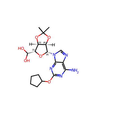 CC1(C)O[C@@H]2[C@H](O1)[C@@H](C(O)O)O[C@H]2n1cnc2c(N)nc(OC3CCCC3)nc21